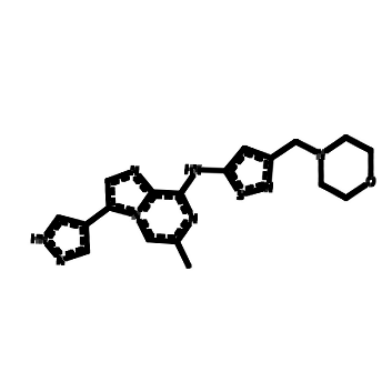 Cc1cn2c(-c3cn[nH]c3)cnc2c(Nc2cc(CN3CCOCC3)ns2)n1